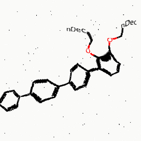 CCCCCCCCCCCOc1cccc(-c2ccc(-c3ccc(-c4ccccc4)cc3)cc2)c1OCCCCCCCCCCC